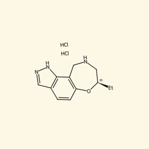 CC[C@@H]1CNCc2c(ccc3cn[nH]c23)O1.Cl.Cl